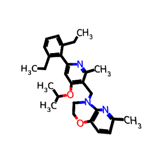 CCc1cccc(CC)c1-c1cc(OC(C)C)c(CN2CCOc3ccc(C)nc32)c(C)n1